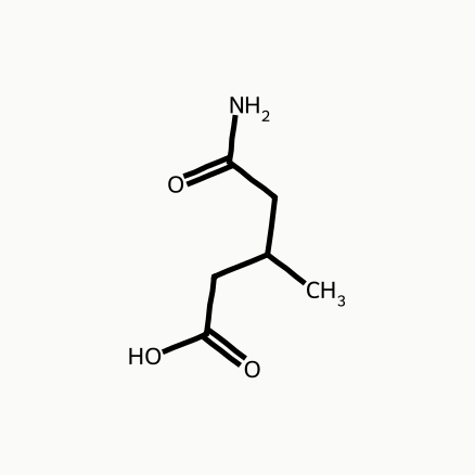 CC(CC(N)=O)CC(=O)O